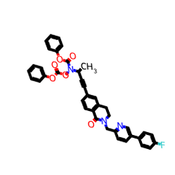 CC(C#Cc1ccc2c(c1)CCN(Cc1ccc(-c3ccc(F)cc3)cn1)C2=O)N(OC(=O)Oc1ccccc1)C(=O)Oc1ccccc1